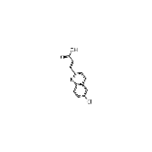 O=C(O)C=Cc1ccc2cc(Cl)ccc2n1